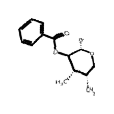 C[C@@H]1C(OC(=O)c2ccccc2)[C@H](Br)OC[C@@H]1C